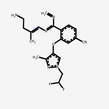 C=N/C(=N\C=C(/C)CCN)c1ccc(C#N)cc1Oc1cn(CC(F)F)nc1C